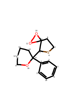 c1ccc(C2(C3SCCC34OO4)CCCCO2)cc1